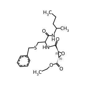 CCCC(C)NC(=O)C(CSCc1ccccc1)NC(=O)[C@H]1O[C@@H]1C(=O)OCC